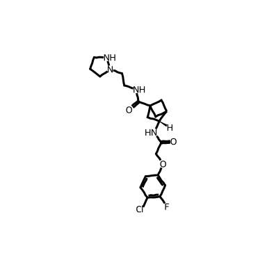 O=C(COc1ccc(Cl)c(F)c1)N[C@@H]1CC2(C(=O)NCCN3CCCN3)CC1C2